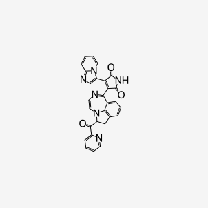 O=C1NC(=O)C(c2cnc3ccccn23)=C1C1=NC=CN2c3c(cccc31)CC2C(=O)c1ccccn1